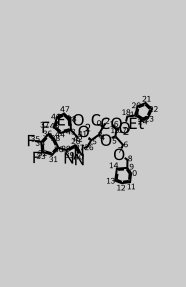 CCOC(=O)C(C(=O)OCC)C(OC(COCc1ccccc1)C(C)OCc1ccccc1)C(Cn1cc(-c2cc(F)c(F)c(F)c2)nn1)OCc1ccccc1